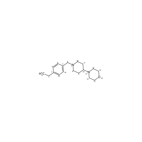 CCc1ccc(CN2CCC(N3CCOCC3)CC2)cc1